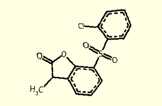 CC1C(=O)Oc2c1cccc2S(=O)(=O)c1ccccc1Cl